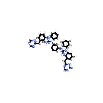 c1cc(-n2c3ccccc3n3c4cccc(Cc5ncncn5)c4nc23)cc(-n2c3ccccc3n3c4cccc(Cc5ncncn5)c4nc23)c1